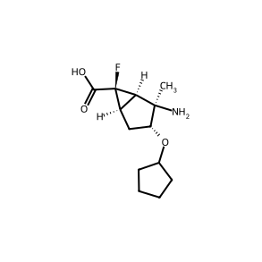 C[C@@]1(N)[C@H]2[C@@H](C[C@H]1OC1CCCC1)[C@]2(F)C(=O)O